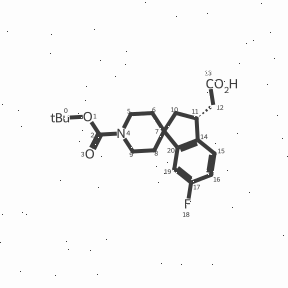 CC(C)(C)OC(=O)N1CCC2(CC1)C[C@H](CC(=O)O)c1ccc(F)cc12